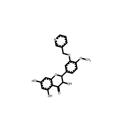 COc1ccc(C2Oc3cc(O)cc(O)c3C(=O)C2O)cc1OCc1cccnc1